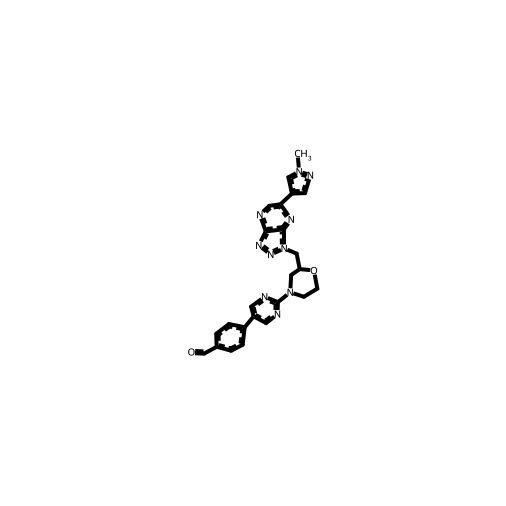 Cn1cc(-c2cnc3nnn(CC4CN(c5ncc(-c6ccc(C=O)cc6)cn5)CCO4)c3n2)cn1